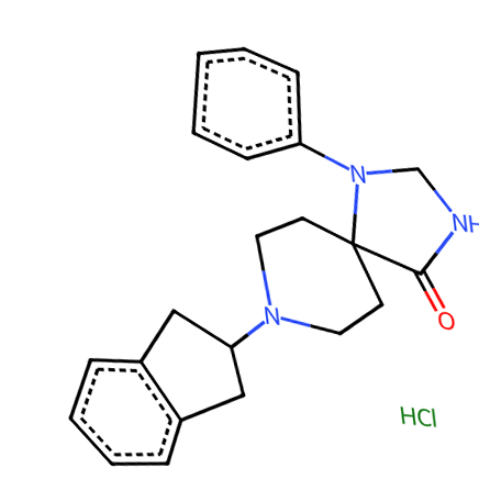 Cl.O=C1NCN(c2ccccc2)C12CCN(C1Cc3ccccc3C1)CC2